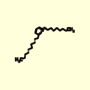 CCCCCCCCCCc1ccc[n+](CCCCCCCCC)c1